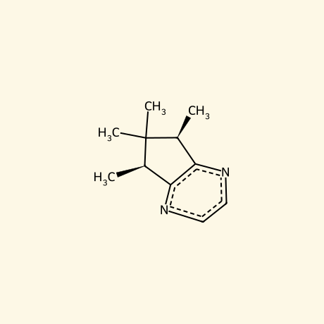 C[C@@H]1c2nccnc2[C@H](C)C1(C)C